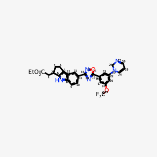 CCOC(=O)CC1CCc2c1[nH]c1ccc(-c3noc(-c4cc(OC(F)(F)F)cc(N5C=CC=NC5)c4)n3)cc21